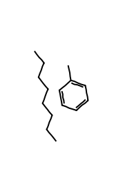 CCCCCCCC.Cc1ccccc1